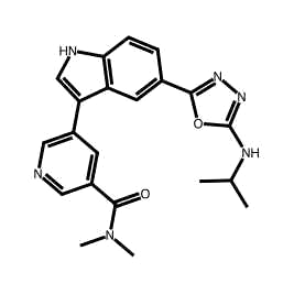 CC(C)Nc1nnc(-c2ccc3[nH]cc(-c4cncc(C(=O)N(C)C)c4)c3c2)o1